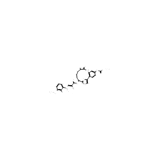 COC(=O)Nc1ccc2c(c1)NC(=O)C(C)CCCC(NC(=O)/C(N)=C/N(N)c1cccc(OC)c1F)c1nc-2c[nH]1